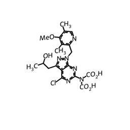 COc1c(C)cnc(Cn2nc(CC(C)O)c3c(Cl)nc(N(C(=O)O)C(=O)O)nc32)c1C